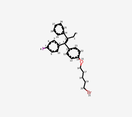 CCC(=C(c1ccc(I)cc1)c1ccc(OCCCCCBr)cc1)c1ccccc1